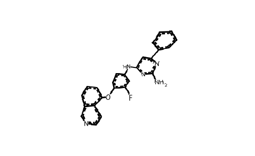 Nc1nc(Nc2ccc(Oc3cccc4cnccc34)c(F)c2)cc(-c2ccccc2)n1